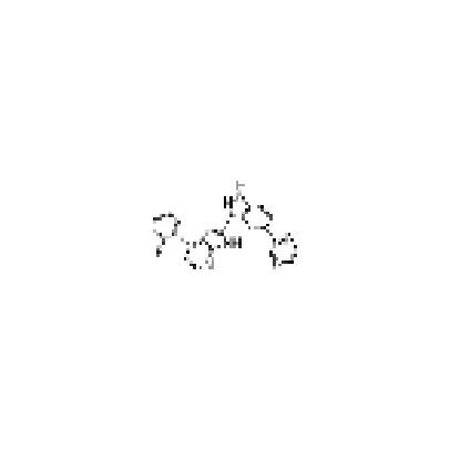 Fc1ccccc1-c1ccnc2[nH]c(-c3n[nH]c4ccc(-c5cnccn5)cc34)cc12